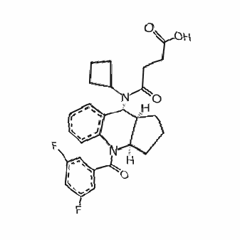 O=C(O)CCC(=O)N(C1CCC1)[C@H]1c2ccccc2N(C(=O)c2cc(F)cc(F)c2)[C@@H]2CCC[C@@H]21